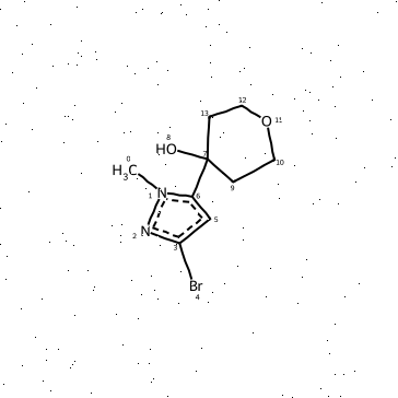 Cn1nc(Br)cc1C1(O)CCOCC1